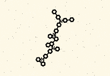 c1ccc(-c2ccc(N(c3ccc(-c4ccccc4)cc3)c3ccc(-c4ccc(-n5c6ccccc6c6c(-c7cc(N(c8ccccc8)c8ccc(-c9ccc(-n%10c%11ccccc%11c%11ccccc%11%10)cc9)cc8)c8ccccc8c7)cccc65)cc4)cc3)cc2)cc1